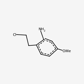 COc1ccc(CCCl)c(N)c1